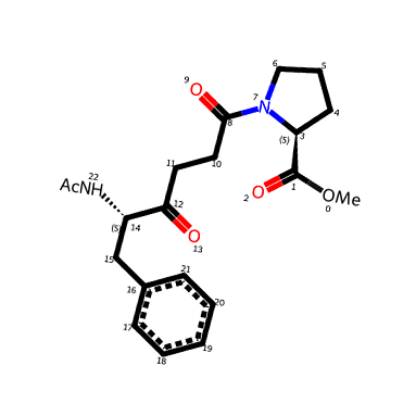 COC(=O)[C@@H]1CCCN1C(=O)CCC(=O)[C@H](Cc1ccccc1)NC(C)=O